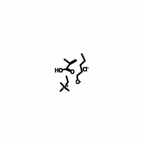 C=C(C)C(=O)O.CCCCC[O].CC[N+](C)(C)C.[Cl-]